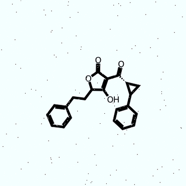 O=C1OC(CCc2ccccc2)C(O)=C1C(=O)[C@@H]1CC1c1ccccc1